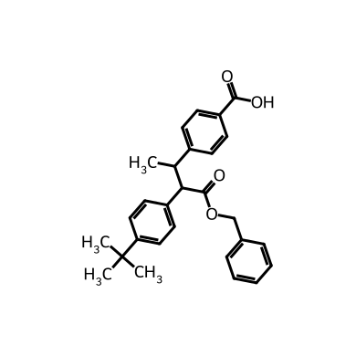 CC(c1ccc(C(=O)O)cc1)C(C(=O)OCc1ccccc1)c1ccc(C(C)(C)C)cc1